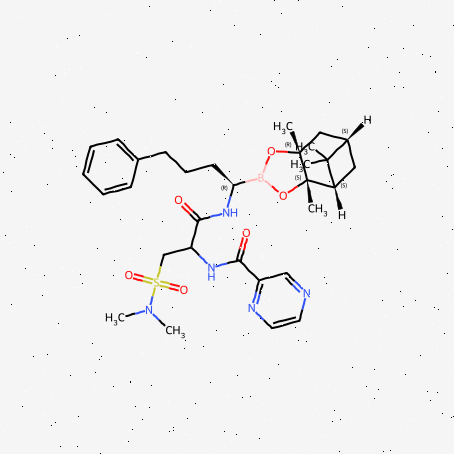 CN(C)S(=O)(=O)CC(NC(=O)c1cnccn1)C(=O)N[C@@H](CCCc1ccccc1)B1O[C@]2(C)C[C@@H]3C[C@@H](C3(C)C)[C@]2(C)O1